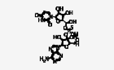 Nc1ncnc2c1ncn2[C@@H]1O[C@H](CO)C(O)(OP(O)(=S)OC(O)[C@@H]2O[C@H](n3ccc(=O)[nH]c3=O)C(O)C2O)C1O